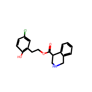 O=C(OCCc1cc(Cl)ccc1O)C1CNCc2ccccc21